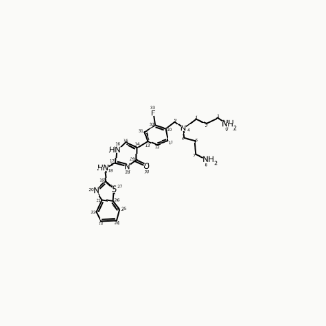 NCCCN(CCCN)Cc1ccc(-c2c[nH]c(Nc3nc4ccccc4s3)nc2=O)cc1F